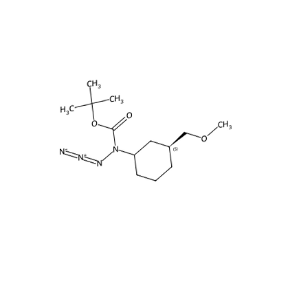 COC[C@H]1CCCC(N(N=[N+]=[N-])C(=O)OC(C)(C)C)C1